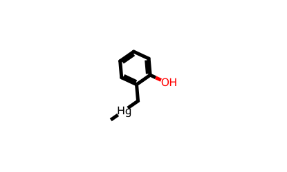 [CH3][Hg][CH2]c1ccccc1O